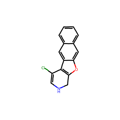 ClC1=CNCc2oc3cc4ccccc4cc3c21